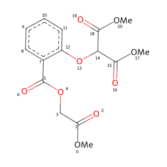 COC(=O)COC(=O)c1ccccc1OC(C(=O)OC)C(=O)OC